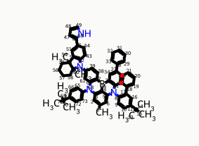 Cc1cc2c3c(c1)N(c1ccc(C(C)(C)C)cc1-c1ccccc1)c1ccc(-c4ccccc4)cc1B3c1ccc(N3c4ccc(-c5ccc[nH]5)cc4C4(C)CCCCC34C)cc1N2c1ccc(C(C)(C)C)cc1